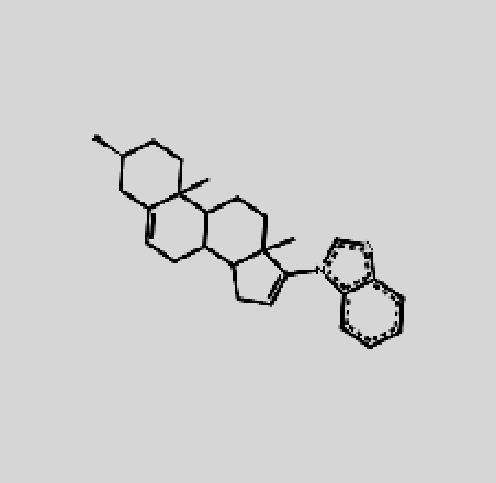 C[C@H]1CCC2(C)C(=CCC3C2CCC2(C)C(n4cnc5ccccc54)=CCC32)C1